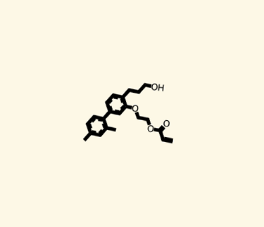 C=CC(=O)OCCOc1cc(-c2ccc(C)cc2C)ccc1CCCO